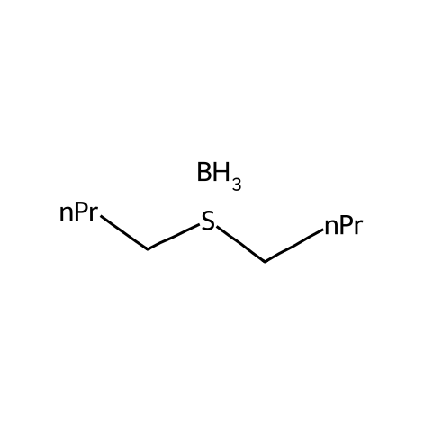 B.CCCCSCCCC